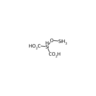 O=C(O)[SiH](O[SiH3])C(=O)O